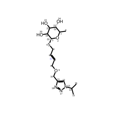 CC1O[C@@H](SC/C=C/COCc2cn(C(C)C)nn2)C(O)C(O)[C@@H]1O